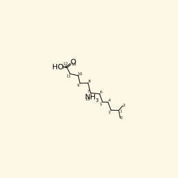 CC(C)CCCCCCCCCC(=O)O.N